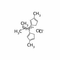 CC1=CC[C]([Hf+2]([C]2=CC(C)=CC2)=[Si](C)C)=C1.[Cl-].[Cl-]